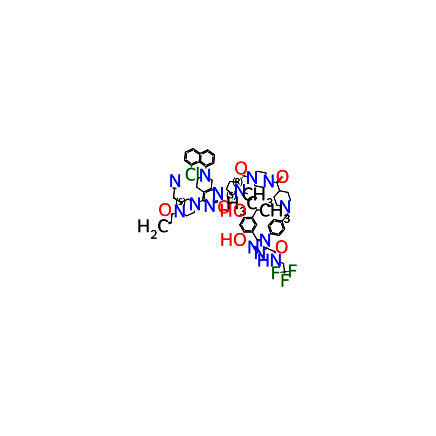 C=CC(=O)N1CCN(c2nc(OC[C@@H]3CC[C@H](C(=O)N4CCN(C(=O)C5CCN(Cc6ccc(-n7c(C(=O)NCC(F)(F)F)nnc7-c7cc(C(C)C)c(O)cc7O)cc6)CC5)CC4)N3C)nc3c2CCN(c2cccc4cccc(Cl)c24)C3)C[C@@H]1CC#N